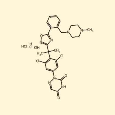 CN1CCN(Cc2ccccc2-c2nc(C(C)(C)c3c(Cl)cc(-n4ncc(=O)[nH]c4=O)cc3Cl)no2)CC1.Cl.Cl.Cl